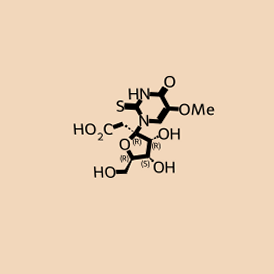 COc1cn([C@]2(CC(=O)O)O[C@H](CO)[C@@H](O)[C@H]2O)c(=S)[nH]c1=O